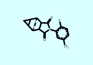 O=C1C2C3CCC(C4CC43)C2C(=O)N1c1cc(C(F)(F)F)ccc1F